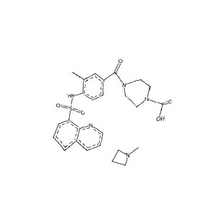 CN1CCC1.Cc1cc(C(=O)N2CCN(C(=O)O)CC2)ccc1NS(=O)(=O)c1cccc2cccnc12